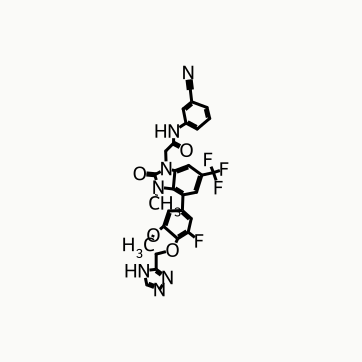 COc1cc(-c2cc(C(F)(F)F)cc3c2n(C)c(=O)n3CC(=O)Nc2cccc(C#N)c2)cc(F)c1OCc1nnc[nH]1